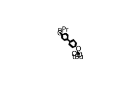 CCCOc1ccc(-c2ccc(OC(=O)OC(C)(C)C)cc2)cc1